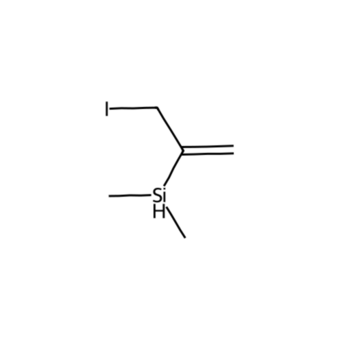 C=C(CI)[SiH](C)C